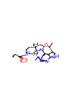 C=CC(=O)N1CC[C@@H]2CCN(c3ncnc4[nH]cc(C(C)=O)c34)[C@H]2C1